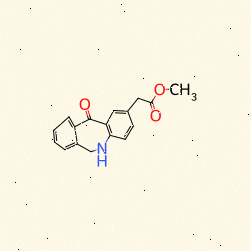 COC(=O)Cc1ccc2c(c1)C(=O)c1ccccc1CN2